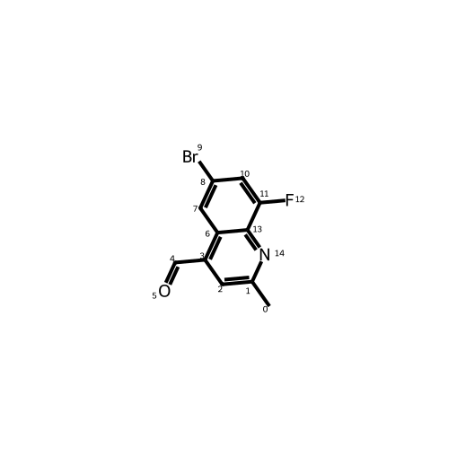 Cc1cc(C=O)c2cc(Br)cc(F)c2n1